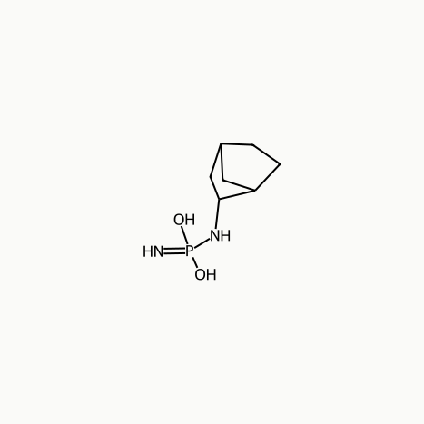 N=P(O)(O)NC1CC2CCC1C2